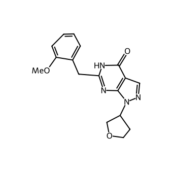 COc1ccccc1Cc1nc2c(cnn2C2CCOC2)c(=O)[nH]1